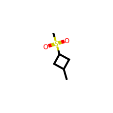 CC1CC(S(C)(=O)=O)C1